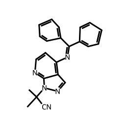 CC(C)(C#N)n1ncc2c(N=C(c3ccccc3)c3ccccc3)ccnc21